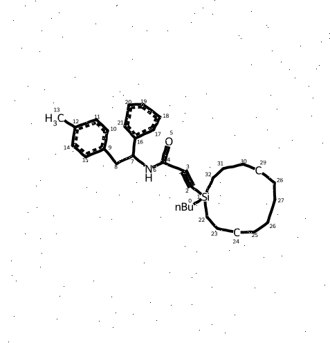 CCCC[Si]1(C#CC(=O)NC(Cc2ccc(C)cc2)c2ccccc2)CCCCCCCCCCC1